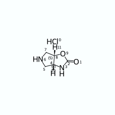 Cl.O=C1N[C@@H]2CNC[C@@H]2O1